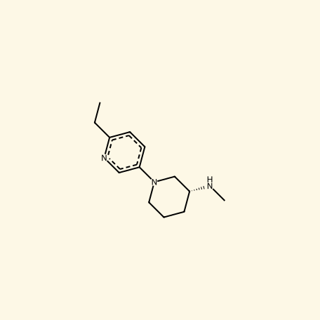 CCc1ccc(N2CCC[C@@H](NC)C2)cn1